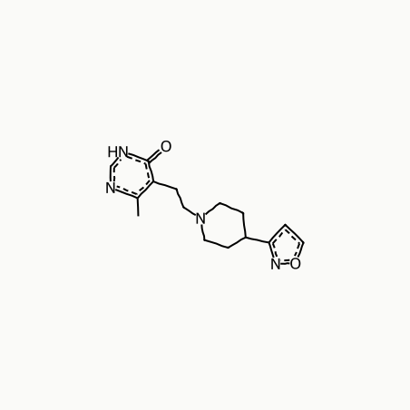 Cc1nc[nH]c(=O)c1CCN1CCC(c2ccon2)CC1